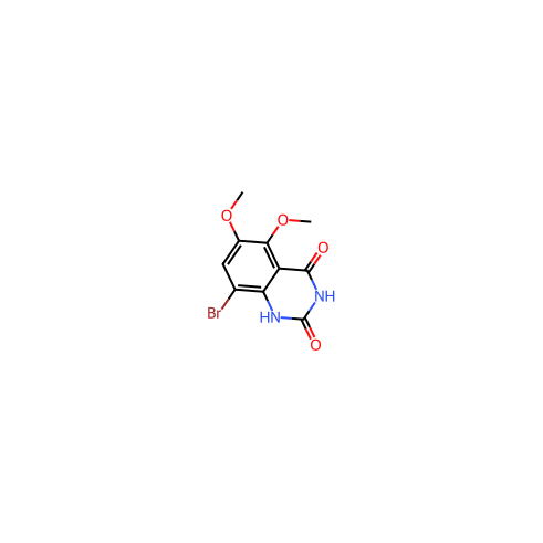 COc1cc(Br)c2[nH]c(=O)[nH]c(=O)c2c1OC